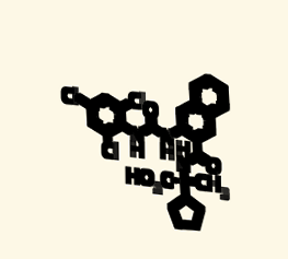 C[C@@](NC(=O)c1cc2ccccc2cc1NC(=O)Nc1c(Cl)cc(Cl)cc1Cl)(C(=O)O)C1CCCC1